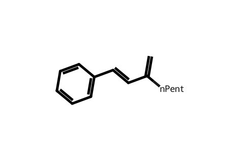 C=C(C=Cc1ccccc1)CCCCC